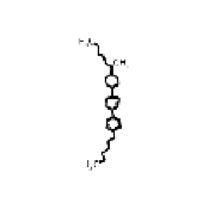 CCCCCCc1ccc(-c2ccc(C3=CCC(C(C)CCCCC)CC3)cc2)cc1